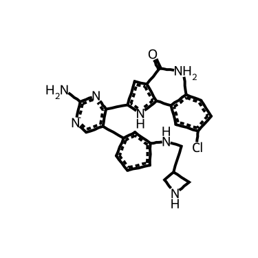 Cc1ccc(Cl)cc1-c1[nH]c(-c2nc(N)ncc2-c2cccc(NCC3CNC3)c2)cc1C(N)=O